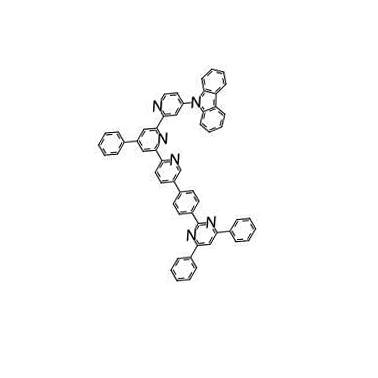 c1ccc(-c2cc(-c3ccc(-c4ccc(-c5nc(-c6ccccc6)cc(-c6ccccc6)n5)cc4)cn3)nc(-c3cc(-n4c5ccccc5c5ccccc54)ccn3)c2)cc1